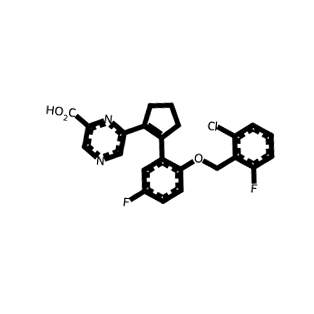 O=C(O)c1cncc(C2=C(c3cc(F)ccc3OCc3c(F)cccc3Cl)CCC2)n1